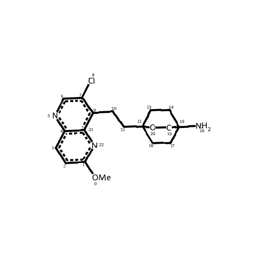 COc1ccc2ncc(Cl)c(CCC34CCC(N)(CC3)CO4)c2n1